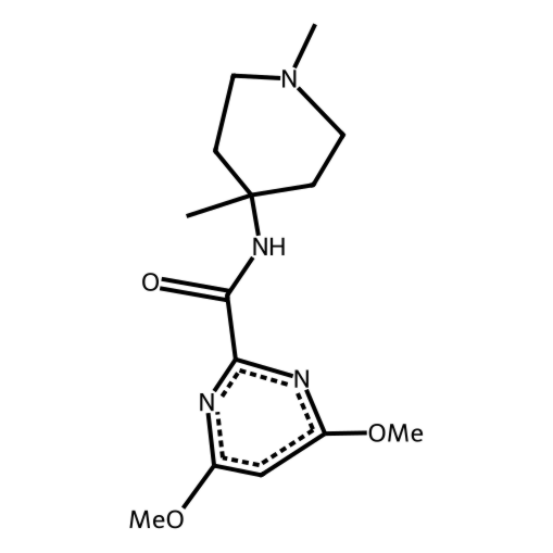 COc1cc(OC)nc(C(=O)NC2(C)CCN(C)CC2)n1